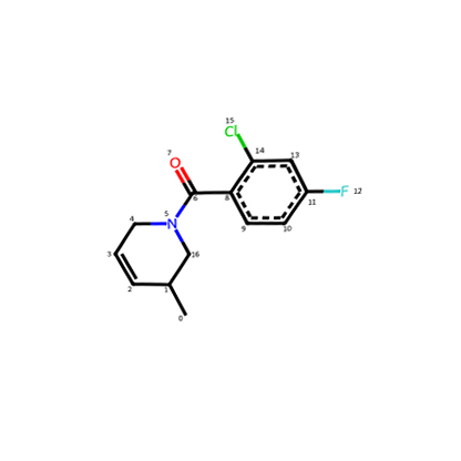 CC1C=CCN(C(=O)c2ccc(F)cc2Cl)C1